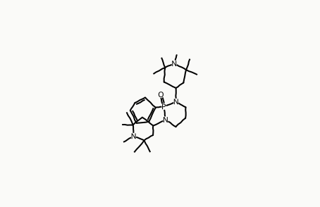 CN1C(C)(C)CC(N2CCCN(C3CC(C)(C)N(C)C(C)(C)C3)P2(=O)c2ccccc2)CC1(C)C